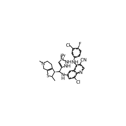 CC1SC2=C(CCN(C)C2)[C@H]1C(Nc1cc(Cl)c2ncc(C#N)c(Nc3ccc(F)c(Cl)c3)c2c1)C1=CN(C(C)C)NN1